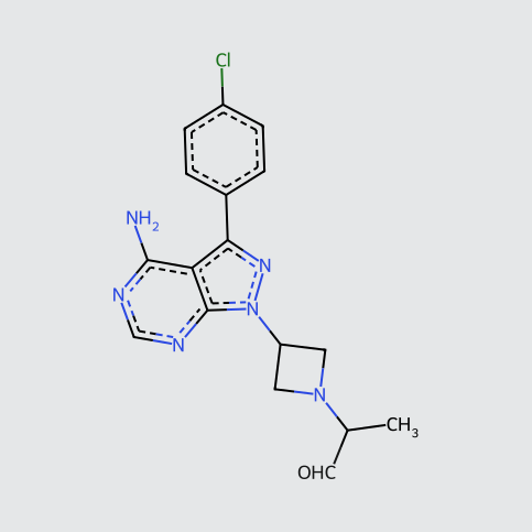 CC(C=O)N1CC(n2nc(-c3ccc(Cl)cc3)c3c(N)ncnc32)C1